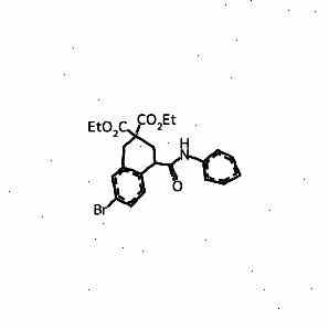 CCOC(=O)C1(C(=O)OCC)Cc2cc(Br)ccc2C(C(=O)Nc2ccccc2)C1